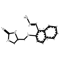 O=C1OCC(COc2ccc3ccccc3c2C=NO)O1